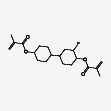 C=C(C)C(=O)OC1CCC(C2CCC(OC(=O)C(=C)C)C(F)C2)CC1